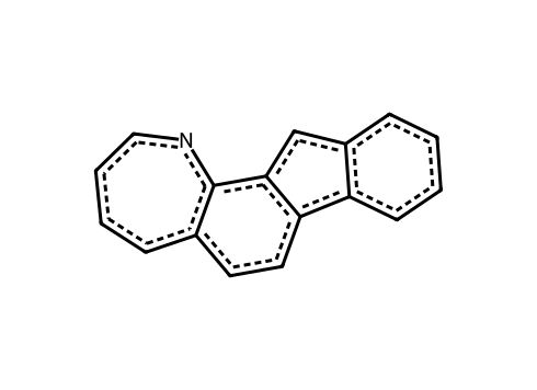 c1ccc2ccc3c4ccccc4cc3c2nc1